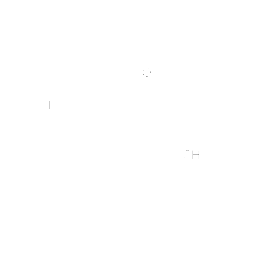 CC1c2cccc(F)c2C2OC12